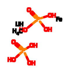 C.O=P(O)(O)O.O=P(O)(O)O.[Fe].[LiH]